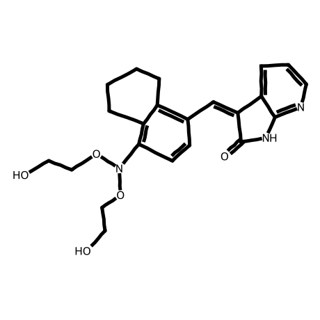 O=C1Nc2ncccc2C1=Cc1ccc(N(OCCO)OCCO)c2c1CCCC2